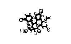 CCOCC(CC=O)N1C(=O)C(C)(CC(=O)O)CC(c2cccc(Cl)c2)C1c1ccc(Cl)cc1